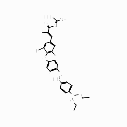 CCOP(OCC)c1ccc(NSc2ccc(Oc3c(F)cc(/C=C(\C)C(=O)N=C(N)N)cc3F)cc2)cc1